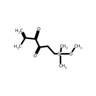 C=C(C)C(=O)C(=O)CC[Si](C)(C)OC